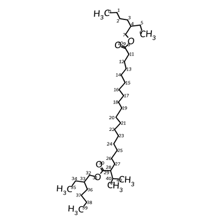 CCCCC(CC)COC(=O)CCCCCCCCCCCCCCCCCC(C(=O)OCC(CC)CCCC)C(C)C